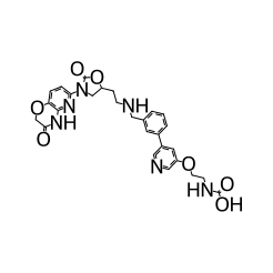 O=C(O)NCCOc1cncc(-c2cccc(CNCCC3CN(c4ccc5c(n4)NC(=O)CO5)C(=O)O3)c2)c1